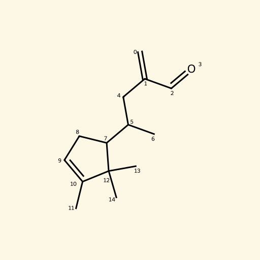 C=C(C=O)CC(C)C1CC=C(C)C1(C)C